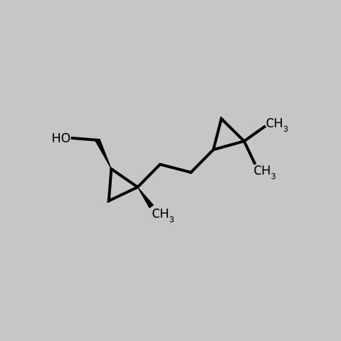 CC1(C)CC1CC[C@]1(C)C[C@H]1CO